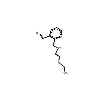 C=Cc1ccccc1CNCCCCC